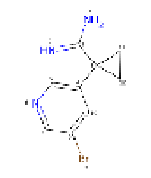 N=C(N)C1(c2cncc(Br)c2)CC1